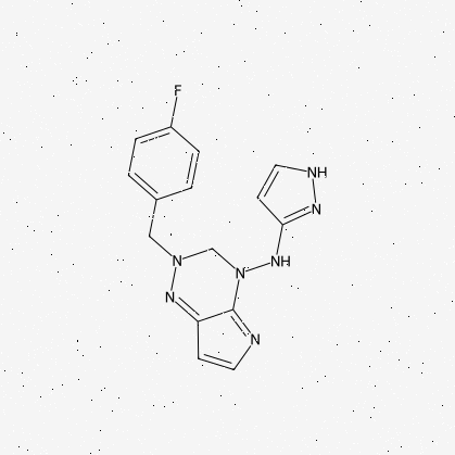 Fc1ccc(CN2CN(Nc3cc[nH]n3)C3=NC=CC3=N2)cc1